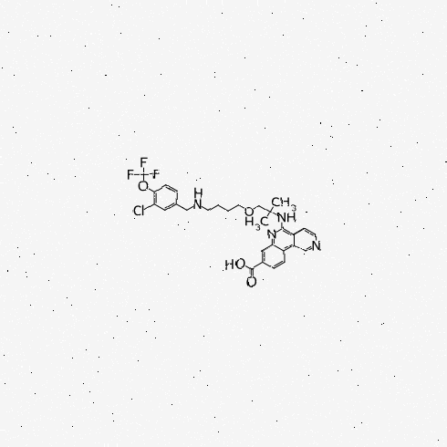 CC(C)(COCCCCNCc1ccc(OC(F)(F)F)c(Cl)c1)Nc1nc2cc(C(=O)O)ccc2c2cnccc12